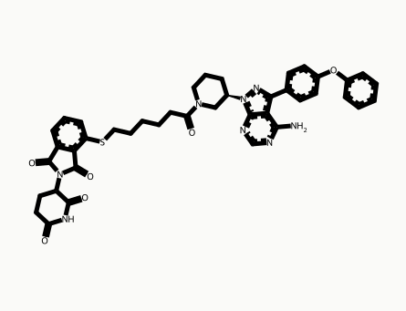 Nc1ncnc2c1c(-c1ccc(Oc3ccccc3)cc1)nn2[C@@H]1CCCN(C(=O)CCCCCSc2cccc3c2C(=O)N(C2CCC(=O)NC2=O)C3=O)C1